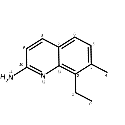 CCc1c(C)ccc2ccc(N)nc12